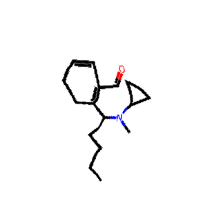 CCCCC(C1=C(C=O)C=CCC1)N(C)C1CC1